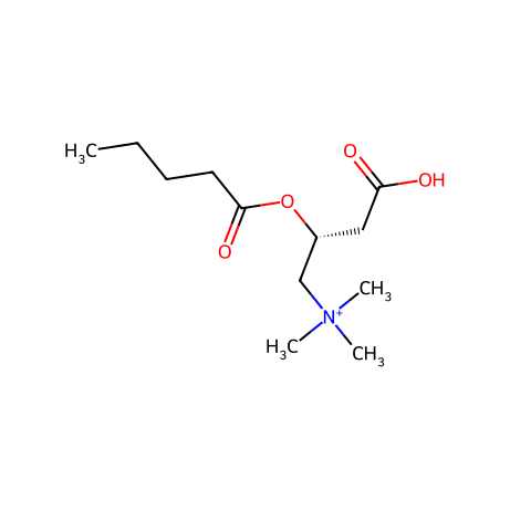 CCCCC(=O)O[C@H](CC(=O)O)C[N+](C)(C)C